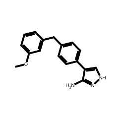 COc1cccc(Cc2ccc(-c3c[nH]nc3N)cc2)c1